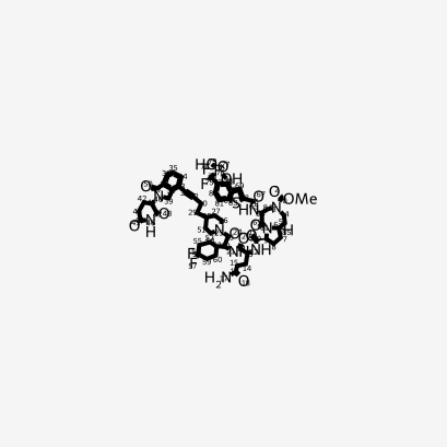 COC(=O)N1CC[C@H]2CC[C@@H](C(=O)NC(CCC(N)=O)C(=O)NC(C(=O)N3CCC(CCC#Cc4cccc5c4CN(C4CCC(=O)NC4=O)C5=O)CC3)C3CCC(F)(F)CC3)N2C(=O)[C@@H](NC(=O)c2cc3cc(C(F)(F)P(=O)(O)O)ccc3s2)C1